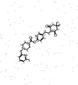 Cc1cccc(CN2CCN(C(=O)Oc3ccc(CCN4C(=O)CC(C)(C)CC4=O)cn3)CC2)n1